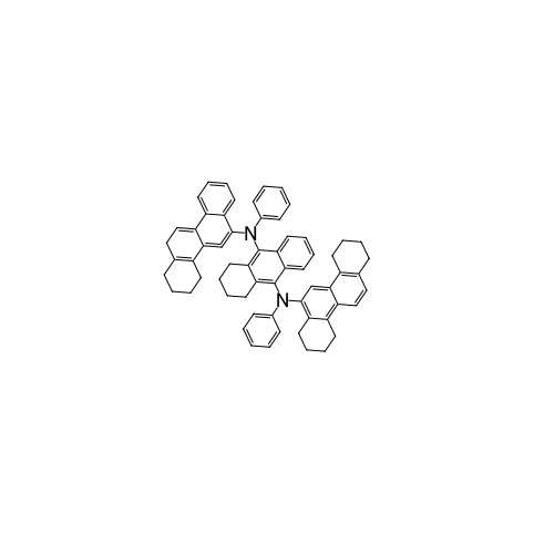 C1=C2C(=CCC3=C2CCCC3)c2ccccc2C=1N(c1ccccc1)c1c2c(c(N(c3ccccc3)c3cc4c5c(ccc4c4c3CCCC4)CCCC5)c3ccccc13)CCCC2